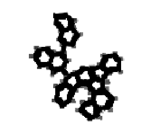 c1ccc2cc(-c3nc(-n4c5ccccc5c5c6c7c8ccccc8ccc7n7c8ccccc8c(cc54)c67)nc4ccccc34)ccc2c1